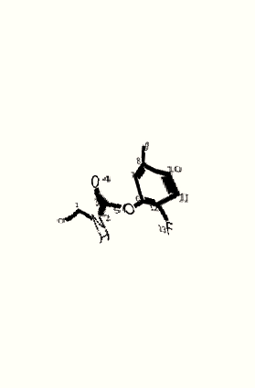 CCNC(=O)Oc1cc(C)ccc1F